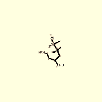 CC(C)(CC(C=O)CCO)[Si](C)(C)O